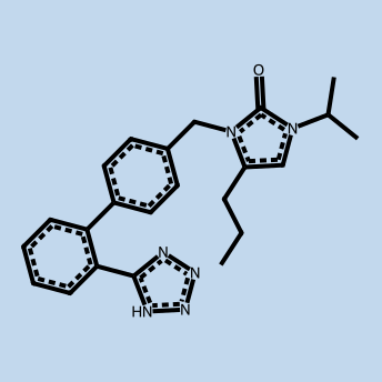 CCCc1cn(C(C)C)c(=O)n1Cc1ccc(-c2ccccc2-c2nnn[nH]2)cc1